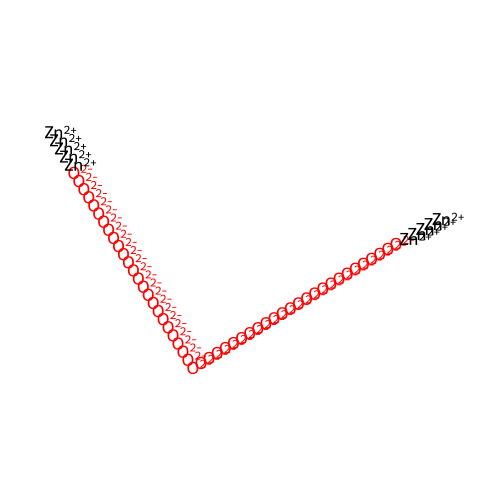 [O-2].[O-2].[O-2].[O-2].[O-2].[O-2].[O-2].[O-2].[O-2].[O-2].[O-2].[O-2].[O-2].[O-2].[O-2].[O-2].[O-2].[O-2].[O-2].[O-2].[O-2].[O-2].[O-2].[O-2].[O-2].[O-2].[O-2].[O-2].[O-2].[O-2].[O-2].[O-2].[O-2].[O-2].[O-2].[O-2].[O-2].[O-2].[O-2].[O-2].[O-2].[O-2].[O-2].[O-2].[O-2].[O-2].[O-2].[O-2].[O-2].[O-2].[Zn+2].[Zn+2].[Zn+2].[Zn+2].[Zn+2].[Zn+2].[Zn+2].[Zn+2].[Zn+2].[Zn+2]